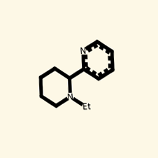 CCN1CCCCC1c1ccccn1